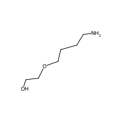 NCCCCOCCO